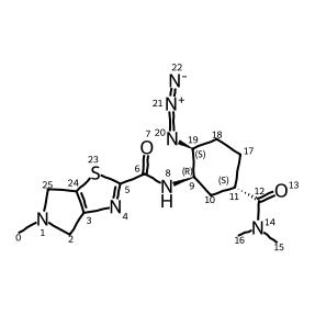 CN1Cc2nc(C(=O)N[C@@H]3C[C@@H](C(=O)N(C)C)CC[C@@H]3N=[N+]=[N-])sc2C1